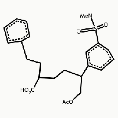 CNS(=O)(=O)c1cccc(C(CCC(CCc2ccccc2)C(=O)O)COC(C)=O)c1